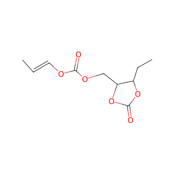 CC=COC(=O)OCC1OC(=O)OC1CC